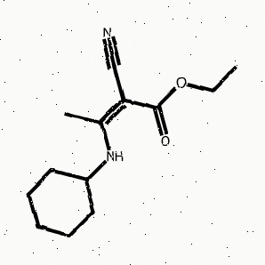 CCOC(=O)C(C#N)=C(C)NC1CCCCC1